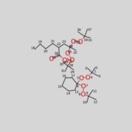 CC(C)(C)OOC1(OOC(C)(C)C)CCCCC1.CCCCC(CC(C)(OOC(C)(C)C)OOC(C)(C)C)C(=O)O